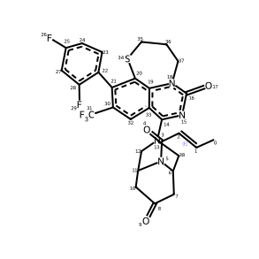 C/C=C/C(=O)N1C2CC(=O)CC1CN(c1nc(=O)n3c4c(c(-c5ccc(F)cc5F)c(C(F)(F)F)cc14)SCCC3)C2